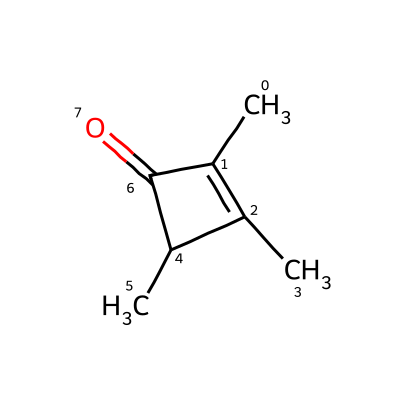 CC1=C(C)C(C)C1=O